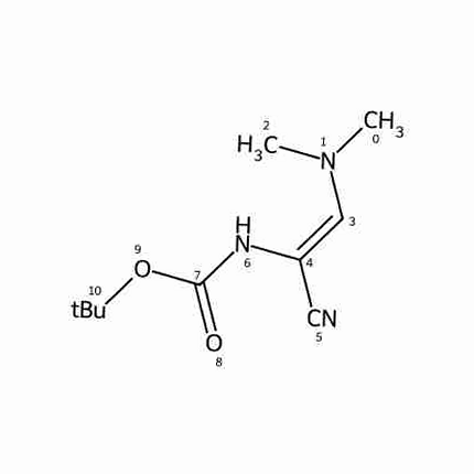 CN(C)C=C(C#N)NC(=O)OC(C)(C)C